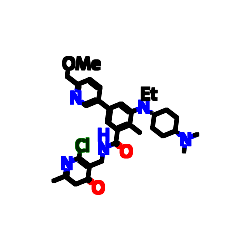 CCN(c1cc(-c2ccc(COC)nc2)cc(C(=O)NCC2=C(Cl)N=C(C)CC2=O)c1C)[C@H]1CC[C@H](N(C)C)CC1